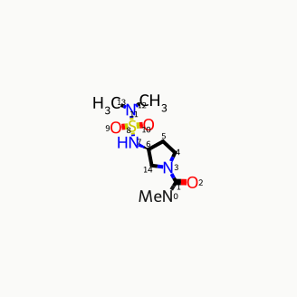 CNC(=O)N1CC[C@H](NS(=O)(=O)N(C)C)C1